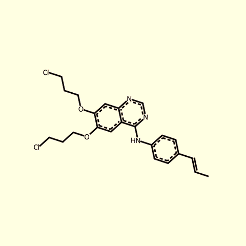 C/C=C/c1ccc(Nc2ncnc3cc(OCCCCl)c(OCCCCl)cc23)cc1